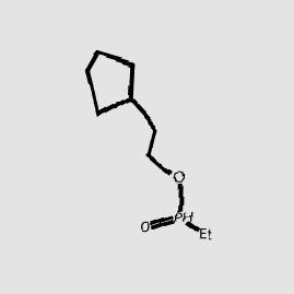 CC[PH](=O)OCCC1CCCC1